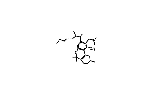 CCCCCC(C)C(C)c1cc2c(c(O)c1CN(C)C)C1=C(CCC(C)C1)C(C)(C)O2